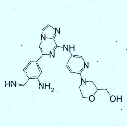 N=Cc1ccc(-c2cn3ccnc3c(Nc3ccc(N4CCOC(CO)C4)nc3)n2)cc1N